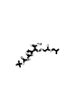 CC(C)COC(=O)CO/N=C(\C(=O)O)c1csc(NC(=O)OC(C)(C)C)n1